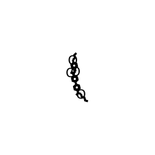 CCCCOC(C)c1ccc(-c2ccc(C(=O)Oc3ccc(OCCC)cc3)cc2)cc1